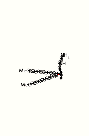 COCCOCCOCCOCCOCCOCCOCCOCCOCCOCCOCCOCCCC1(CCCOCCOCCOCCOCCOCCOCCOCCOCCOCCOCCOCCOC)c2cc(-c3ccccc3)ccc2-c2ccc(-c3ccc(OCCCCNC(=O)CCOCCOCCN)cc3)cc21